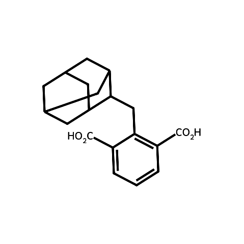 O=C(O)c1cccc(C(=O)O)c1CC1C2CC3CC(C2)CC1C3